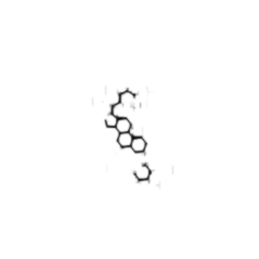 CC(C)[C@H](C)[C@@H](O)[C@H](O)[C@@H](C)[C@H]1CCC2C3CC(=O)C4C[C@@H](O[C@H]5O[C@@H](CO)[C@H](O)[C@@H](O)[C@@H]5O)CC[C@]4(C)C3CC[C@@]21C